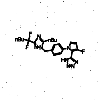 CCCCc1nc(C(F)(F)CCCC)nn1Cc1ccc(-n2ccc(F)c2-c2nnn[nH]2)cc1